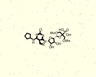 COCC(COC)(OC[C@H]1O[C@@H](n2ncc3c(NC4CCCC4)nc(Cl)nc32)[C@H](O)[C@@H]1O)P(=O)(O)O